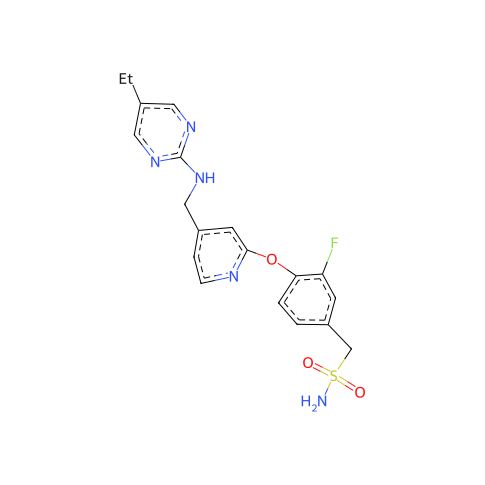 CCc1cnc(NCc2ccnc(Oc3ccc(CS(N)(=O)=O)cc3F)c2)nc1